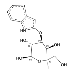 OC[C@@]1(I)O[C@@H](O)[C@H](O)[C@@H](Oc2cc3ccccc3[nH]2)[C@H]1O